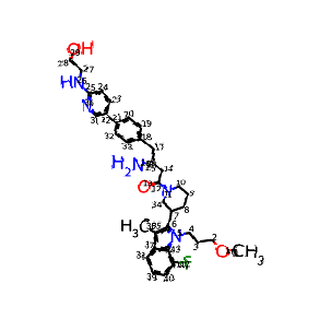 COCCCn1c(C2CCCN(C(=O)C[C@H](N)Cc3ccc(-c4ccc(NCCO)nc4)cc3)C2)c(C)c2cccc(F)c21